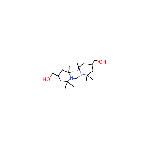 CC1(C)CC(CO)CC(C)(C)N1CN1C(C)(C)CC(CO)CC1(C)C